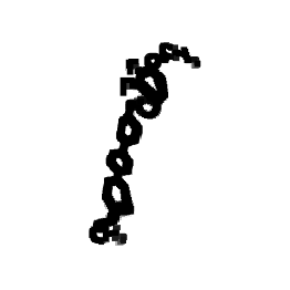 CCCC1CCC(C2C=CC(C3CCC(COc4ccc(OCC)c(F)c4F)CC3)CC2)CC1